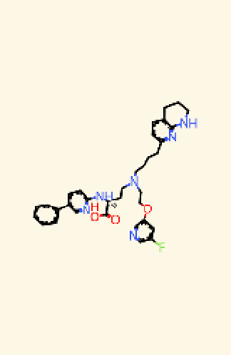 O=C(O)[C@H](CCN(CCCCc1ccc2c(n1)NCCC2)CCOc1cncc(F)c1)Nc1ccc(-c2ccccc2)cn1